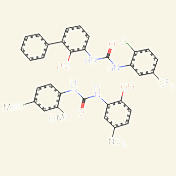 COc1ccc(NC(=O)Nc2cc([N+](=O)[O-])ccc2O)c(OC)c1.O=C(Nc1cc(C(F)(F)F)ccc1Cl)Nc1cccc(-c2ccccc2)c1O